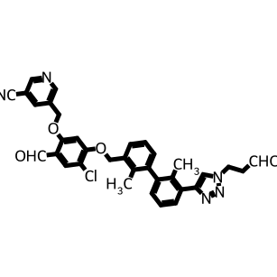 Cc1c(COc2cc(OCc3cncc(C#N)c3)c(C=O)cc2Cl)cccc1-c1cccc(-c2cn(CCC=O)nn2)c1C